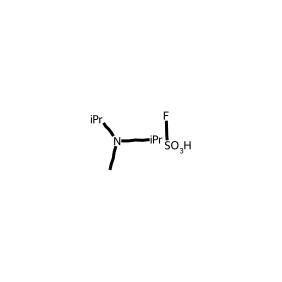 CC(C)N(C)C(C)C.O=S(=O)(O)F